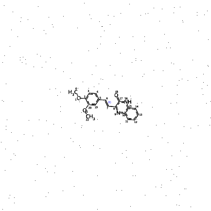 COc1ccc(/C=C/c2nc3ccccc3[nH]c2=O)cc1OC